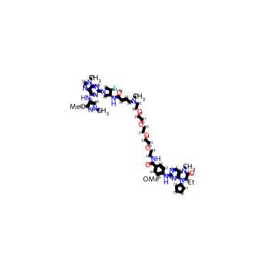 CC[C@@H]1C(=O)N(C)c2cnc(Nc3ccc(C(=O)NCCOCCOCCOCCOCCN(C)C/C=C/C(=O)N[C@@H]4CN(c5nc(Nc6cn(C)nc6OC)c6ncn(C)c6n5)C[C@H]4F)cc3OC)nc2N1C1CCCC1